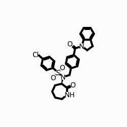 O=C1NCCCC[C@H]1N(Cc1ccc(C(=O)N2CCc3ccccc32)cc1)S(=O)(=O)c1ccc(Cl)cc1